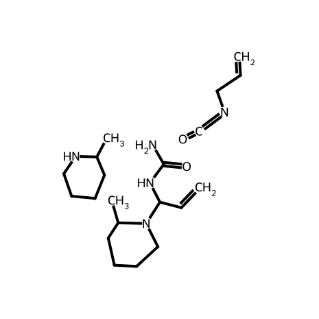 C=CC(NC(N)=O)N1CCCCC1C.C=CCN=C=O.CC1CCCCN1